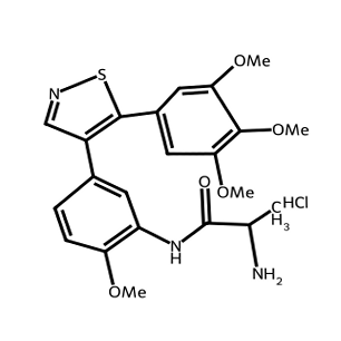 COc1ccc(-c2cnsc2-c2cc(OC)c(OC)c(OC)c2)cc1NC(=O)C(C)N.Cl